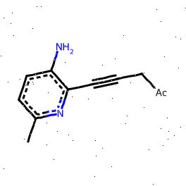 CC(=O)CC#Cc1nc(C)ccc1N